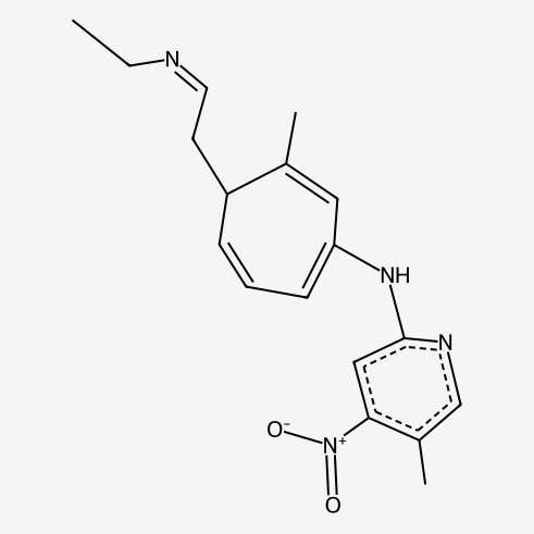 CC/N=C\CC1C=CC=C(Nc2cc([N+](=O)[O-])c(C)cn2)C=C1C